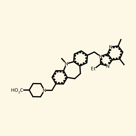 CCc1nc2c(C)cc(C)nc2n1Cc1ccc2c(c1)CCc1cc(CN3CCC(C(=O)O)CC3)ccc1N2C